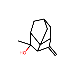 C=C1C2CC3CC(C2)C(C)(O)C1C3